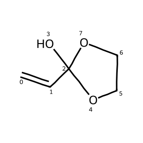 C=CC1(O)OCCO1